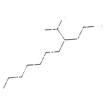 CCCCCCCC(CCO)C(Cl)Cl